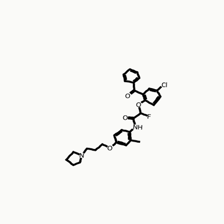 Cc1cc(OCCCN2CCCC2)ccc1NC(=O)C(F)Oc1ccc(Cl)cc1C(=O)c1ccccc1